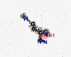 Cc1c(/C=C/CCN2CCC(F)(F)C2)cccc1-c1cccc(COc2cc(OCc3cncc(C#N)c3)c(CN3CCCCC3C(=O)O)cc2Cl)c1C